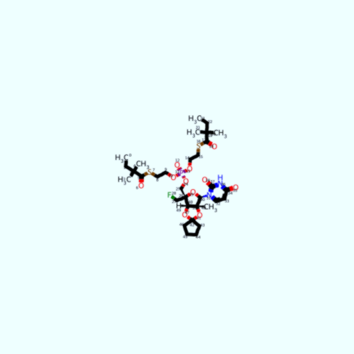 CCC(C)(C)C(=O)SCCOP(=O)(OCCSC(=O)C(C)(C)CC)OC[C@@]1(CF)O[C@@H](n2ccc(=O)[nH]c2=O)[C@]2(C)OC3(CCCC3)O[C@H]12